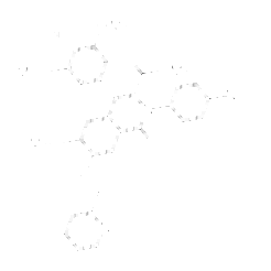 COC(=O)c1c(-c2cc(OC)c(Br)c(OC)c2)c2cc(OC)c(OCc3ccccn3)cc2c(=O)n1-c1ccc(N)cc1